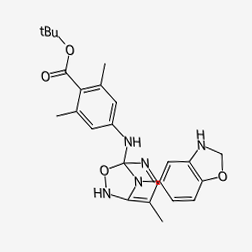 CC1=C2NOC(Nc3cc(C)c(C(=O)OC(C)(C)C)c(C)c3)(N=C1)N2c1ccc2c(c1)NCO2